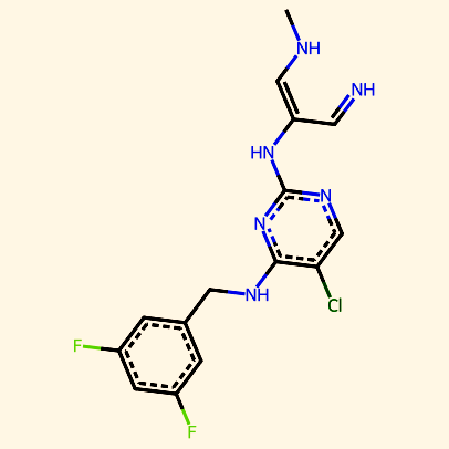 CN/C=C(\C=N)Nc1ncc(Cl)c(NCc2cc(F)cc(F)c2)n1